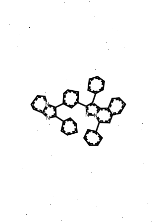 c1ccc(-c2nc3ccccn3c2-c2cccc(-c3nn4c(-c5ccccc5)cc5ccccc5c4c3-c3ccccc3)c2)cc1